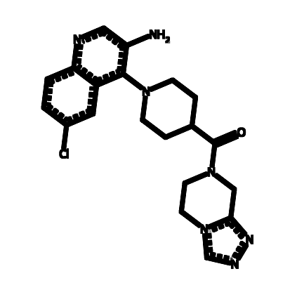 Nc1cnc2ccc(Cl)cc2c1N1CCC(C(=O)N2CCn3cnnc3C2)CC1